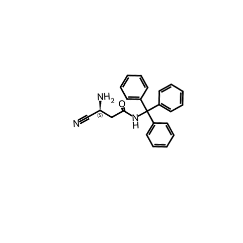 N#C[C@@H](N)CC(=O)NC(c1ccccc1)(c1ccccc1)c1ccccc1